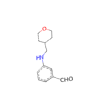 O=Cc1cccc(NCC2CCOCC2)c1